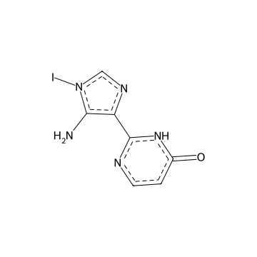 Nc1c(-c2nccc(=O)[nH]2)ncn1I